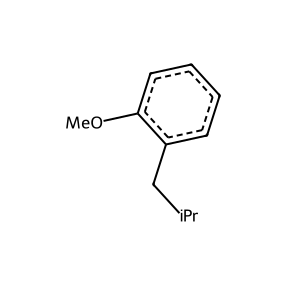 COc1ccccc1CC(C)C